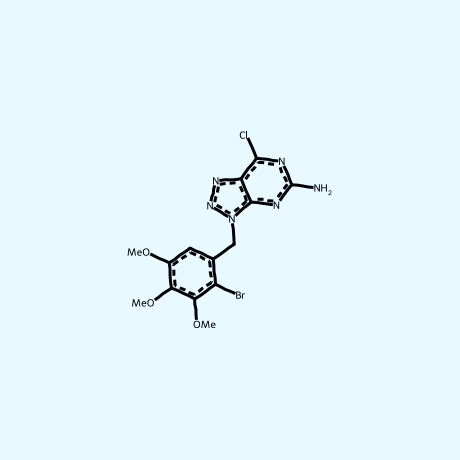 COc1cc(Cn2nnc3c(Cl)nc(N)nc32)c(Br)c(OC)c1OC